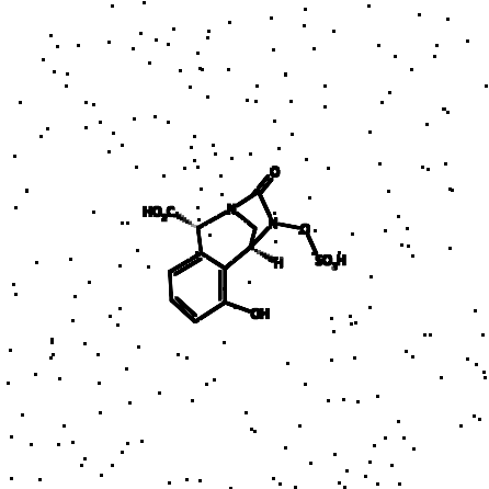 O=C(O)[C@H]1c2cccc(O)c2[C@H]2CN1C(=O)N2OS(=O)(=O)O